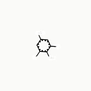 CC(=O)Oc1cc(Cl)c(C(C)(C)C)c(Cl)c1